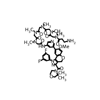 COc1cc2c(cc1-c1cncc(NC(=O)CN(C)C(=O)CN(C)C(=O)CN(C)C(=O)CN(C)C(=O)CN(C)C(=O)CCN)c1)-c1c(c(C(=O)N3CCOCC3(C)C)nn1-c1cc(F)cc(F)c1)CO2